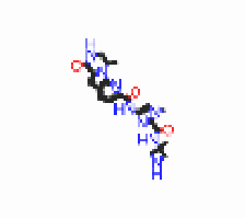 CC1CNC(=O)c2cc3ccc(C(=O)Nc4cn(C)c(C(=O)NC5(C)CNC5)n4)nc3n21